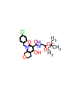 CC(C)(C)OC(=O)CNC(=O)c1c(O)c2c(n(Cc3ccc(Cl)cc3)c1=O)COCC2